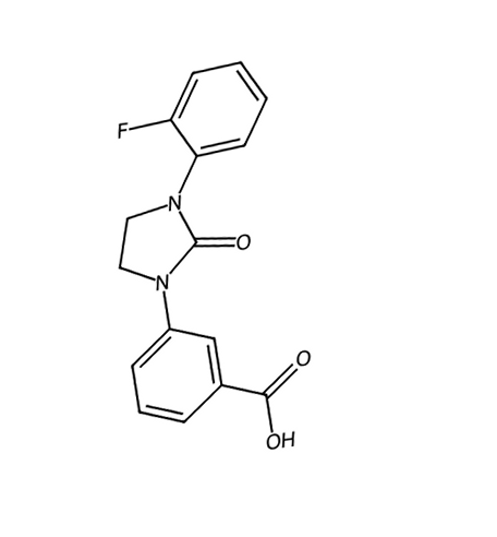 O=C(O)c1cccc(N2CCN(c3ccccc3F)C2=O)c1